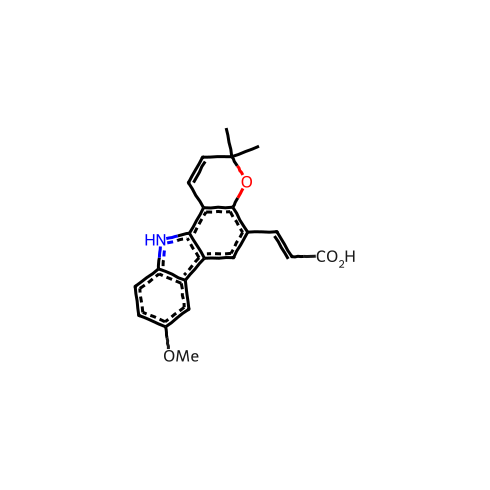 COc1ccc2[nH]c3c4c(c(/C=C/C(=O)O)cc3c2c1)OC(C)(C)C=C4